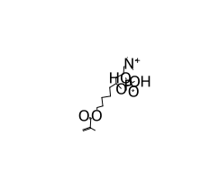 C=C(C)C(=O)OCCCCCC(CCC[N+](C)(C)C)OP(=O)(O)O